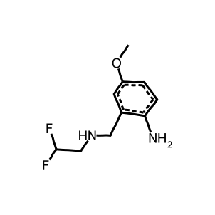 COc1ccc(N)c(CNCC(F)F)c1